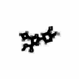 COC(=O)c1nc(-c2ccc(F)c(Cl)c2)oc1C1CCC1